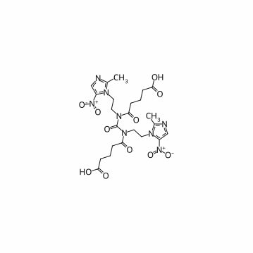 Cc1ncc([N+](=O)[O-])n1CCN(C(=O)CCCC(=O)O)C(=O)N(CCn1c([N+](=O)[O-])cnc1C)C(=O)CCCC(=O)O